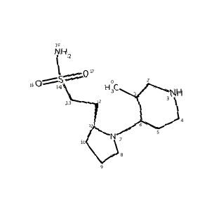 CC1CNCCC1N1CCC[C@H]1CCS(N)(=O)=O